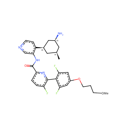 COCCCOc1cc(F)c(-c2nc(C(=O)Nc3cnccc3[C@@H]3C[C@H](C)C[C@H](N)C3)ccc2F)c(F)c1